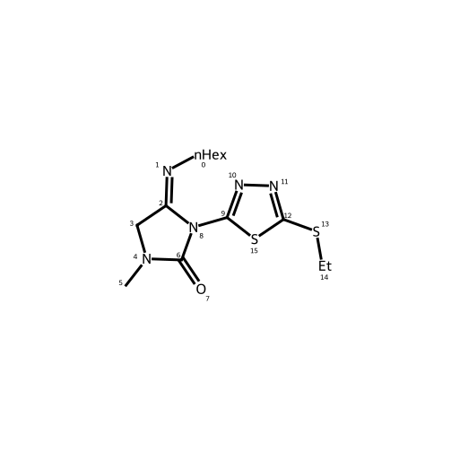 CCCCCCN=C1CN(C)C(=O)N1c1nnc(SCC)s1